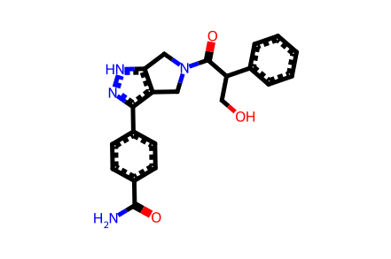 NC(=O)c1ccc(-c2n[nH]c3c2CN(C(=O)C(CO)c2ccccc2)C3)cc1